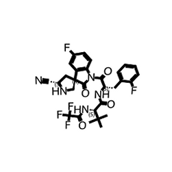 CC(C)(C)[C@H](NC(=O)C(F)(F)F)C(=O)N[C@@H](Cc1ccccc1F)C(=O)N1C(=O)[C@@]2(CN[C@H](C#N)C2)c2cc(F)ccc21